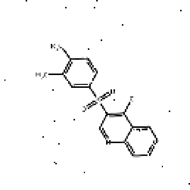 Cc1ccc(S(=O)(=O)c2cnc3ccccc3c2Cl)cc1C